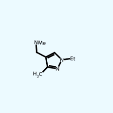 CCn1cc(CNC)c(C)n1